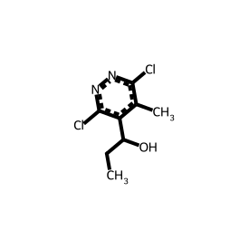 CCC(O)c1c(Cl)nnc(Cl)c1C